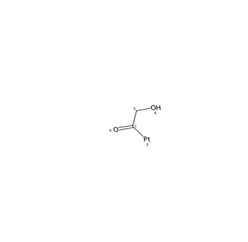 O=[C]([Pt])CO